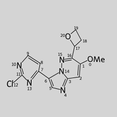 COc1cc2ncc(-c3ccnc(Cl)n3)n2nc1C1CCO1